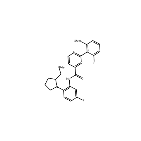 COCC1CCCN1c1ccc(F)cc1NC(=O)c1ccnc(-c2c(F)cccc2OC)n1